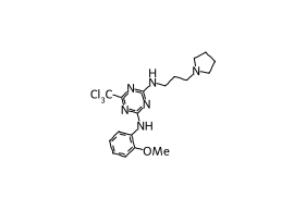 COc1ccccc1Nc1nc(NCCCN2CCCC2)nc(C(Cl)(Cl)Cl)n1